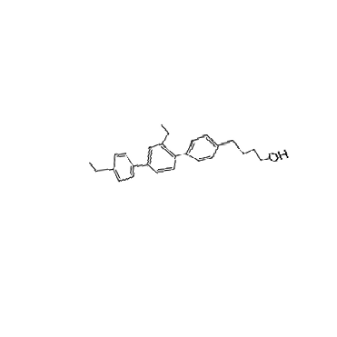 CCc1ccc(-c2ccc(-c3ccc(CCCCO)cc3)c(CC)c2)cc1